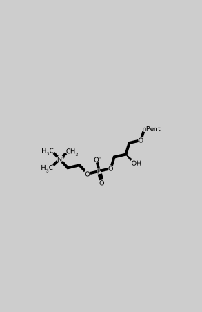 CCCCCOC[C@@H](O)COP(=O)([O-])OCC[N+](C)(C)C